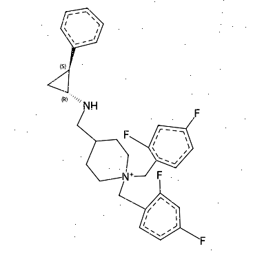 Fc1ccc(C[N+]2(Cc3ccc(F)cc3F)CCC(CN[C@@H]3C[C@H]3c3ccccc3)CC2)c(F)c1